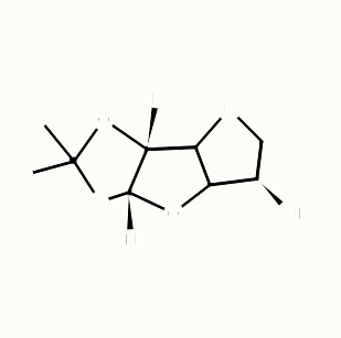 CC1(C)O[C@H]2OC3C(OC[C@H]3O)[C@H]2O1